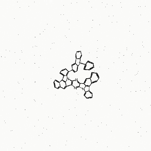 c1ccc(-n2c3ccccc3c3cc(-c4cccc5c6c7ccccc7cc7c8nc9c(nc8n(c45)c76)c4cc5ccccc5c5c6ccccc6n9c45)ccc32)cc1